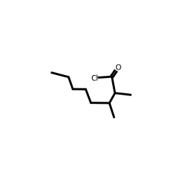 CCCCCC(C)C(C)C(=O)Cl